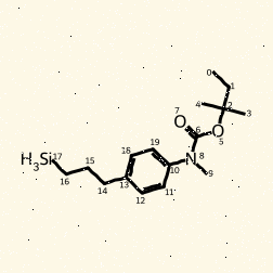 CCC(C)(C)OC(=O)N(C)c1ccc(CCC[SiH3])cc1